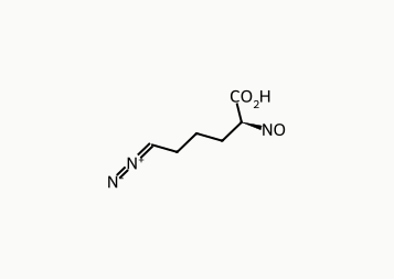 [N-]=[N+]=CCCC[C@H](N=O)C(=O)O